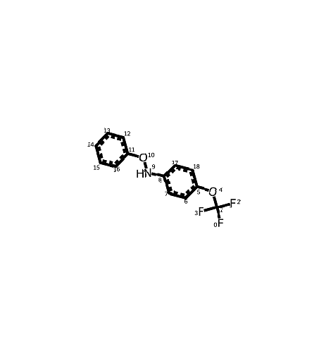 FC(F)(F)Oc1ccc(NOc2ccccc2)cc1